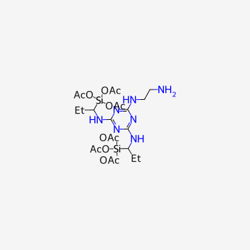 CCC(Nc1nc(NCCN)nc(NC(CC)[Si](OC(C)=O)(OC(C)=O)OC(C)=O)n1)[Si](OC(C)=O)(OC(C)=O)OC(C)=O